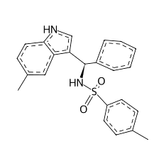 Cc1ccc(S(=O)(=O)N[C@H](c2ccccc2)c2c[nH]c3ccc(C)cc23)cc1